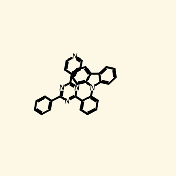 c1ccc(-c2nc(-c3ccncc3)nc(-c3ccccc3-n3c4ccccc4c4ccccc43)n2)cc1